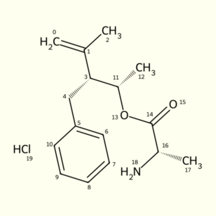 C=C(C)[C@@H](Cc1ccccc1)[C@H](C)OC(=O)[C@H](C)N.Cl